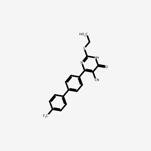 N#Cc1c(-c2ccc(-c3ccc(C(F)(F)F)cc3)cc2)nc(SCC(=O)O)[nH]c1=O